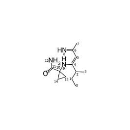 CCC(C)/C(=C/C(C)=N)NC1(C(N)=O)CC1